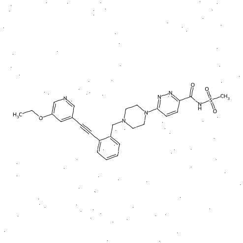 CCOc1cncc(C#Cc2ccccc2CN2CCN(c3ccc(C(=O)NS(C)(=O)=O)nn3)CC2)c1